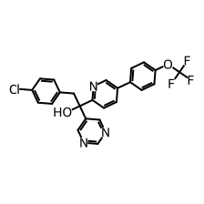 OC(Cc1ccc(Cl)cc1)(c1cncnc1)c1ccc(-c2ccc(OC(F)(F)F)cc2)cn1